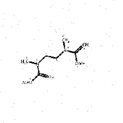 C=C(OC)N(C)CCN(C)C(=O)OC